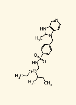 CCO[C@@H](CNS(=O)(=O)c1ccc(CN2c3ccncc3NC2C)cc1)C(C)CC